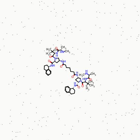 CN[C@@H](C)C(=O)NC(C(=O)N1C[C@@H](NC(=O)CCCCCC(=O)N[C@H]2C[C@@H](C(=O)N[C@@H]3CCCc4ccccc43)N(C(=O)[C@@H](NC(=O)[C@H](C)NC)C(C)(C)C)C2)C[C@H]1C(=O)N[C@@H]1CCCc2ccccc21)C(C)(C)C